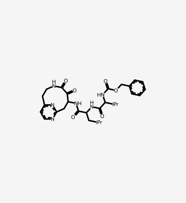 CC(C)CC(NC(=O)C(NC(=O)OCc1ccccc1)C(C)C)C(=O)NC1Cc2nccc(n2)CCNC(=O)C1=O